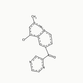 Cc1cc(Cl)c2cc(C(=O)c3cnccn3)ccc2n1